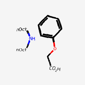 CCCCCCCCNCCCCCCCC.O=C(O)COc1ccccc1